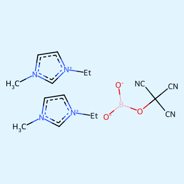 CC[n+]1ccn(C)c1.CC[n+]1ccn(C)c1.N#CC(C#N)(C#N)OB([O-])[O-]